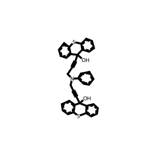 OC1(C#CCN(CC#CC2(O)c3ccccc3Sc3ccccc32)c2ccccc2)c2ccccc2Sc2ccccc21